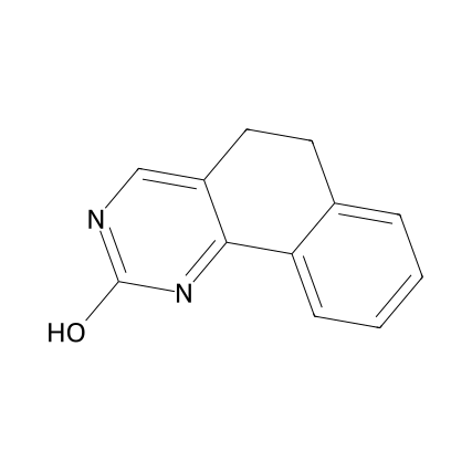 Oc1ncc2c(n1)-c1ccccc1CC2